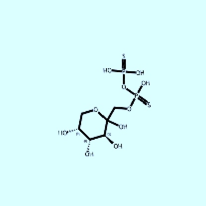 O[C@@H]1[C@H](O)COC(O)(COP(O)(=S)OP(O)(O)=S)[C@H]1O